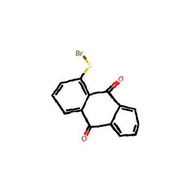 O=C1c2ccccc2C(=O)c2c(SBr)cccc21